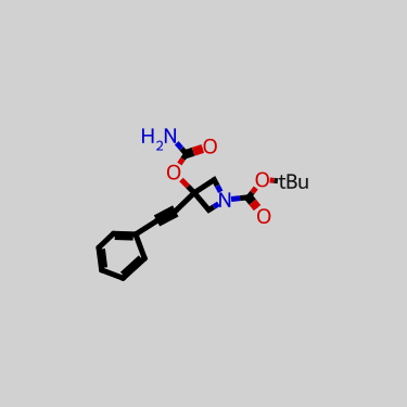 CC(C)(C)OC(=O)N1CC(C#Cc2ccccc2)(OC(N)=O)C1